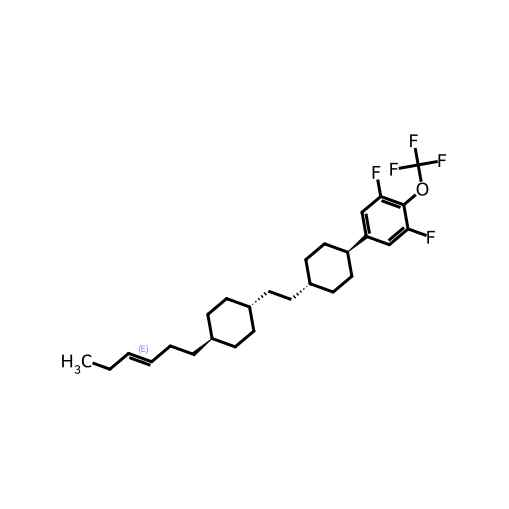 CC/C=C/CC[C@H]1CC[C@H](CC[C@H]2CC[C@H](c3cc(F)c(OC(F)(F)F)c(F)c3)CC2)CC1